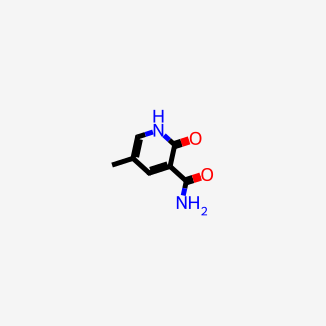 Cc1c[nH]c(=O)c(C(N)=O)c1